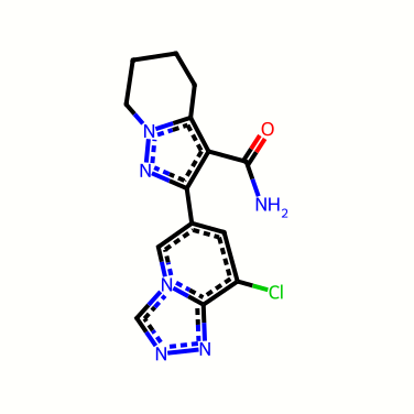 NC(=O)c1c(-c2cc(Cl)c3nncn3c2)nn2c1CCCC2